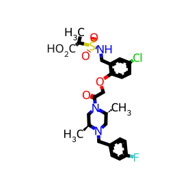 CC(C(=O)O)S(=O)(=O)NCc1cc(Cl)ccc1OCC(=O)N1C[C@H](C)N(Cc2ccc(F)cc2)C[C@H]1C